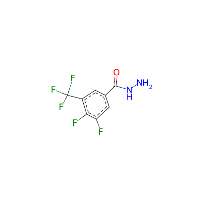 NNC(=O)c1cc(F)c(F)c(C(F)(F)F)c1